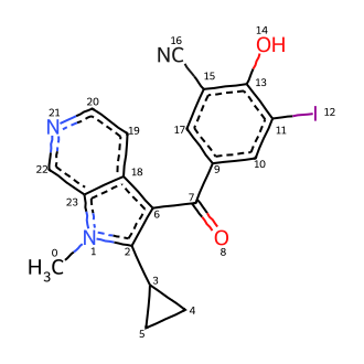 Cn1c(C2CC2)c(C(=O)c2cc(I)c(O)c(C#N)c2)c2ccncc21